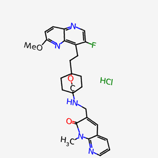 COc1ccc2ncc(F)c(CCC34CCC(NCc5cc6cccnc6n(C)c5=O)(CC3)CO4)c2n1.Cl